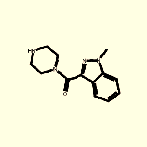 Cn1nc(C(=O)N2CCNCC2)c2ccccc21